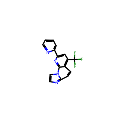 FC(F)(F)c1cc(-c2ccccn2)nc2c1ccc1nccn12